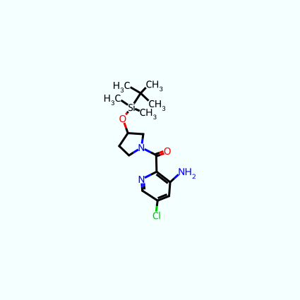 CC(C)(C)[Si](C)(C)OC1CCN(C(=O)c2ncc(Cl)cc2N)C1